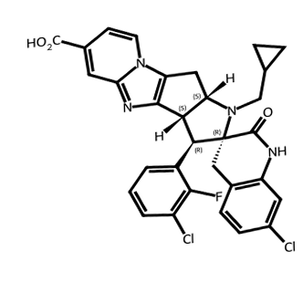 O=C(O)c1ccn2c3c(nc2c1)[C@@H]1[C@H](C3)N(CC2CC2)[C@]2(Cc3ccc(Cl)cc3NC2=O)[C@H]1c1cccc(Cl)c1F